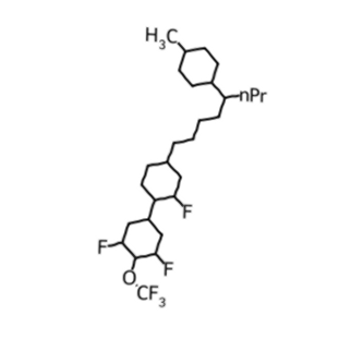 CCCC(CCCCC1CCC(C2CC(F)C(OC(F)(F)F)C(F)C2)C(F)C1)C1CCC(C)CC1